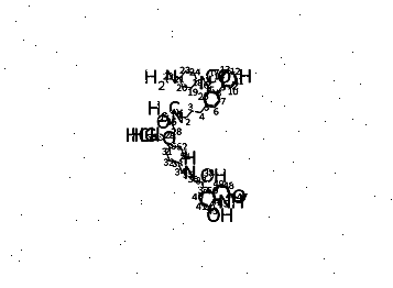 CN(CCCc1ccc(-c2ccccc2)c(N(C(=O)O)C2CCC(N)CC2)c1)C(=O)CO[C@H]1CC[C@H](CNC[C@H](O)c2ccc(O)c3[nH]c(=O)ccc23)CC1.Cl.Cl